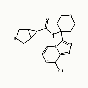 Cc1cccn2c(C3(NC(=O)C4C5CNCC54)CCOCC3)ncc12